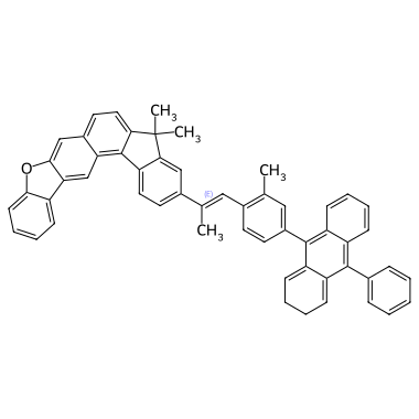 C/C(=C\c1ccc(-c2c3c(c(-c4ccccc4)c4ccccc24)=CCCC=3)cc1C)c1ccc2c(c1)C(C)(C)c1ccc3cc4oc5ccccc5c4cc3c1-2